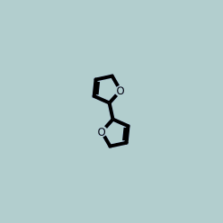 C1=CC(C2C=CCO2)OC1